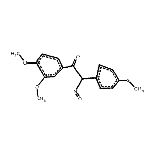 COc1ccc(C(=O)C(N=O)c2ccc(SC)cc2)cc1OC